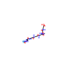 CCNC(=O)[C@H](CCCCNC(=O)CCCCCNC(=O)CCCCCNC(=O)c1ccc(NNC(=O)C(F)(F)F)nc1)NC(=O)CCC(=O)NCCCCCC(=O)O